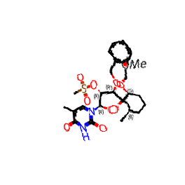 COCO[C@H]1CCC[C@@H](C)C12O[C@@H](n1cc(C)c(=O)[nH]c1=O)[C@H](OS(C)(=O)=O)[C@H]2OCc1ccccc1